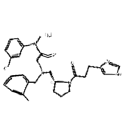 Cc1ccccc1CN(CC(=O)N(C)c1cccc(Cl)c1)C[C@@H]1CCCN1C(=O)CCc1c[nH]cn1.Cl